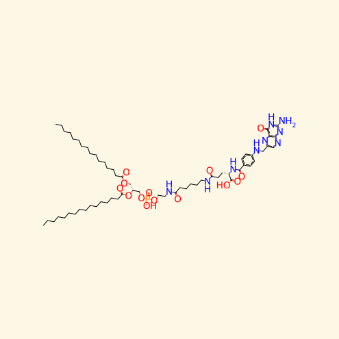 CCCCCCCCCCCCCCCC(=O)OC[C@H](COP(=O)(O)OCCNC(=O)CCCCCNC(=O)CC[C@H](NC(=O)c1ccc(NCc2cnc3nc(N)[nH]c(=O)c3n2)cc1)C(=O)O)OC(=O)CCCCCCCCCCCCCCC